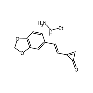 CCNN.O=c1cc1C=Cc1ccc2c(c1)OCO2